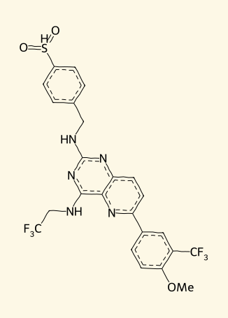 COc1ccc(-c2ccc3nc(NCc4ccc([SH](=O)=O)cc4)nc(NCC(F)(F)F)c3n2)cc1C(F)(F)F